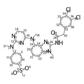 CN(c1ccc(S(C)(=O)=O)cc1)c1nccc(N(C)c2cccc3c2nc(NC(=O)Cc2ccc(Cl)c(Cl)c2)n3C)n1